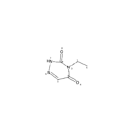 CCn1c(=O)cn[nH]c1=O